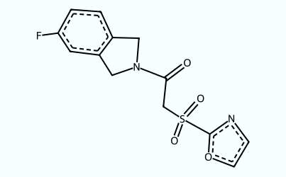 O=C(CS(=O)(=O)c1ncco1)N1Cc2ccc(F)cc2C1